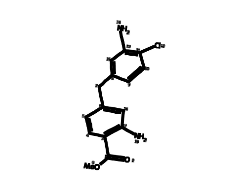 COC(=O)c1ccc(Cc2ccc(Cl)c(N)c2)cc1N